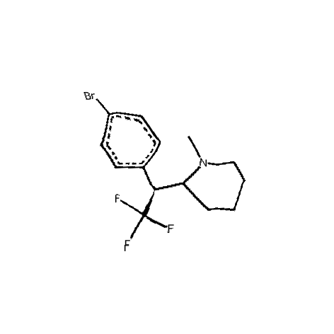 CN1CCCCC1[C@H](c1ccc(Br)cc1)C(F)(F)F